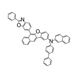 c1ccc(-c2ccc(N(c3ccc4ccccc4c3)c3ccc4oc5c(-c6ccc7nc(-c8ccccc8)oc7c6)c6ccccc6cc5c4c3)cc2)cc1